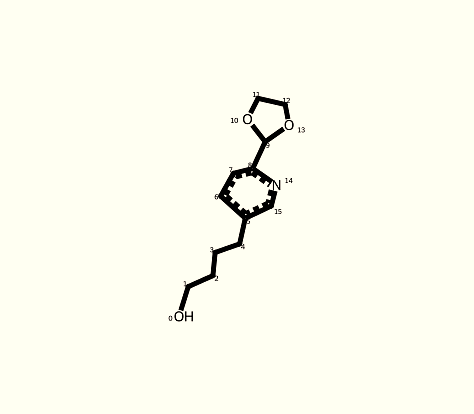 OCCCCc1ccc(C2OCCO2)nc1